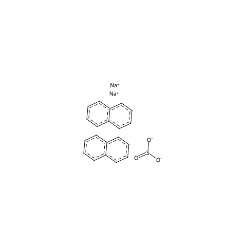 O=S([O-])[O-].[Na+].[Na+].c1ccc2ccccc2c1.c1ccc2ccccc2c1